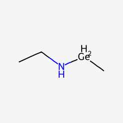 CC[NH][GeH2][CH3]